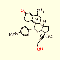 CNc1ccc([C@H]2C[C@@]3(C)[C@@H](CC[C@]3(C#CCO)C(C)=O)[C@@H]3CC(C)C4=CC(=O)CCC4=C32)cc1